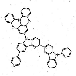 c1ccc(-n2c3ccccc3c3cc(-c4ccc5c(c4)c4cc(-c6ccncc6)ccc4n5-c4cc5c6c(c4)Oc4ccccc4N6c4ccccc4O5)ccc32)cc1